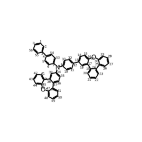 c1ccc(-c2ccc(N(c3ccc(-c4ccc5c(c4)-c4ccccc4-c4ccccc4O5)cc3)c3ccc4c(c3)-c3ccccc3Oc3ccccc3-4)cc2)cc1